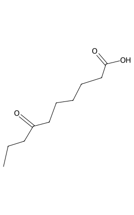 CCCC(=O)CCCCCC(=O)O